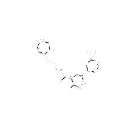 CNc1nccc(-c2cc(C(=O)NCCCc3ccncc3)c(=O)[nH]n2)n1